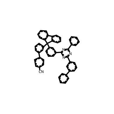 N#Cc1ccc(-c2cccc(C3(c4cccc(-c5nc(-c6ccccc6)nc(-c6cccc(-c7ccccc7)c6)n5)c4)c4ccccc4-c4ccccc43)c2)cc1